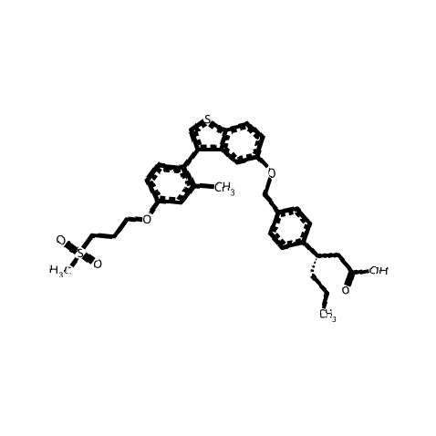 CCC[C@@H](CC(=O)O)c1ccc(COc2ccc3scc(-c4ccc(OCCCS(C)(=O)=O)cc4C)c3c2)cc1